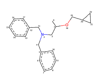 CC(CN(Cc1ccccc1)Cc1ccccc1)OCC1CC1